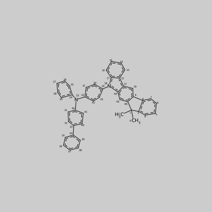 CC1(C)c2ccccc2-c2cc3c4ccccc4n(-c4ccc(N(c5ccccc5)c5ccc(-c6ccccc6)cc5)cc4)c3cc21